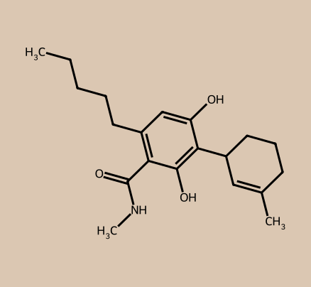 CCCCCc1cc(O)c(C2C=C(C)CCC2)c(O)c1C(=O)NC